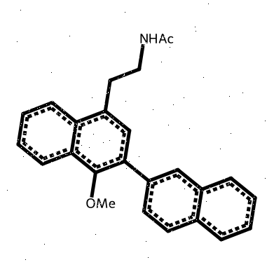 COc1c(-c2ccc3ccccc3c2)cc(CCNC(C)=O)c2ccccc12